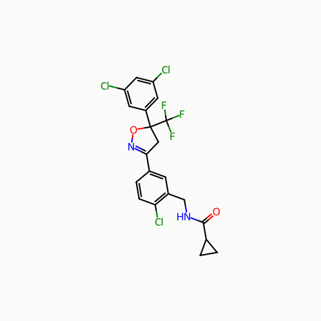 O=C(NCc1cc(C2=NOC(c3cc(Cl)cc(Cl)c3)(C(F)(F)F)C2)ccc1Cl)C1CC1